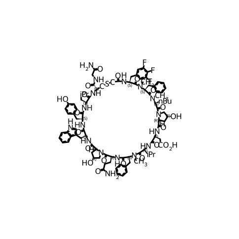 CCCC[C@H]1C(=O)N2C[C@H](O)C[C@@H]2C(=O)N[C@@H](CC(=O)O)C(=O)N[C@@H](C(C)C)C(=O)N(C)[C@@H](Cc2ccccc2)C(=O)N[C@@H](CCC(N)=O)C(=O)N2C[C@H](O)C[C@H]2C(=O)N[C@@H](Cc2c[nH]c3ccccc23)C(=O)N[C@@H](Cc2ccc(O)cc2)C(=O)N[C@@H](CC(C)C)C(=O)N[C@H](C(=O)NCC(N)=O)CSCC(=O)N[C@@H](Cc2cc(F)c(F)c(F)c2)C(=O)N(C)[C@@H](Cc2ccccc2)C(=O)N1C